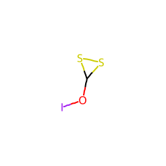 IOC1SS1